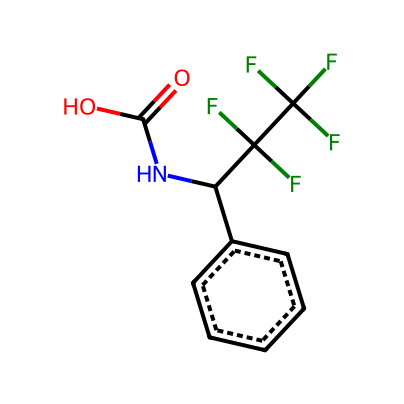 O=C(O)NC(c1ccccc1)C(F)(F)C(F)(F)F